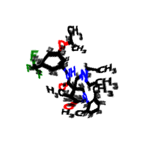 CCN(CC)CC1(C(=O)Nc2cc(OC(C)C)cc(C(F)(F)F)c2)CN(c2c(C)cccc2C)C(=O)C1C